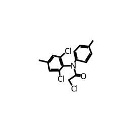 Cc1ccc(N(C(=O)CCl)c2c(Cl)cc(C)cc2Cl)cc1